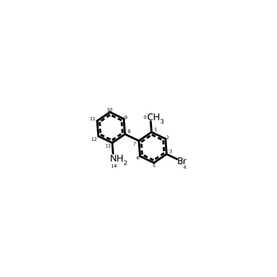 Cc1cc(Br)ccc1-c1ccccc1N